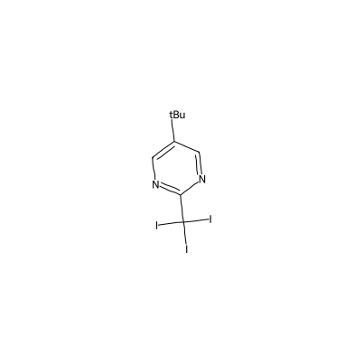 CC(C)(C)c1cnc(C(I)(I)I)nc1